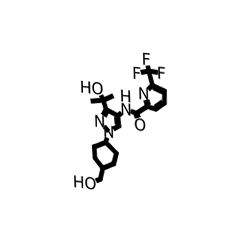 CC(C)(O)c1nn(C2CCC(CO)CC2)cc1NC(=O)c1cccc(C(F)(F)F)n1